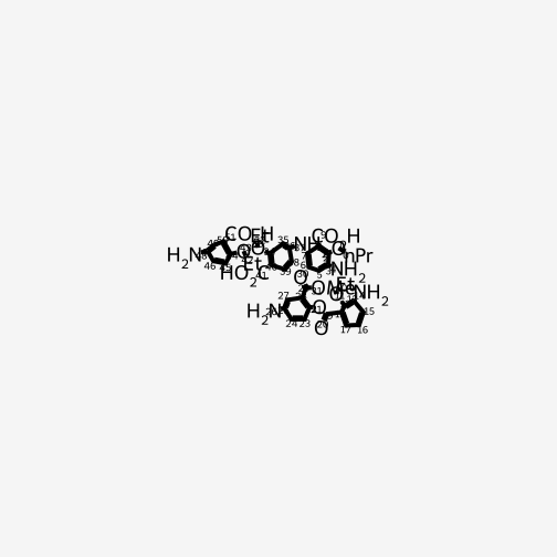 CCCOc1c(N)cccc1C(=O)O.CCOc1c(N)cccc1C(=O)Oc1ccc(N)cc1C(=O)OC.CCOc1cc(N)ccc1C(=O)O.CCOc1ccc(N)cc1C(=O)O